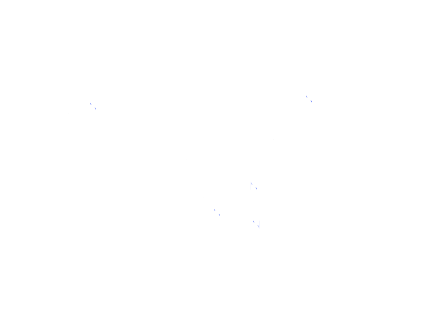 c1ccc(-c2cc3ccc4nc(-n5c6ccc(-c7ccc8c(c7)c7c9ccccc9ccc7n8-c7ccccc7)cc6c6c7ccccc7ccc65)nc(-c5ccc6c(c5)c5ccccc5n6-c5ccccc5)c4c3s2)cc1